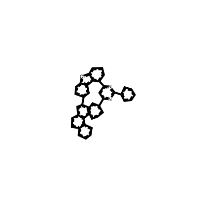 c1ccc(-c2cc(-c3cccc4oc5ccc(-c6ccc7c(ccc8ccccc87)c6)cc5c34)nc(-c3ccccc3)n2)cc1